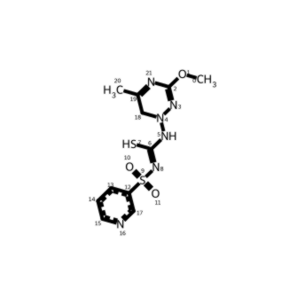 COC1=NN(NC(S)=NS(=O)(=O)c2cccnc2)CC(C)=N1